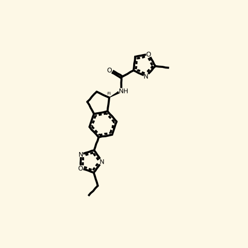 CCc1nc(-c2ccc3c(c2)CC[C@H]3NC(=O)c2coc(C)n2)no1